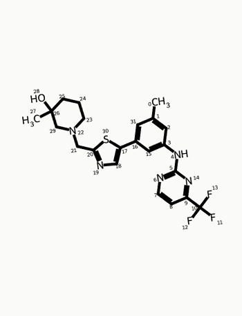 Cc1cc(Nc2nccc(C(F)(F)F)n2)cc(-c2cnc(CN3CCCC(C)(O)C3)s2)c1